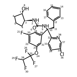 O=C(N[C@H]1CCC[C@H]1O)N[C@@](Cc1ccccc1)(c1cc(F)cc(OC(F)(F)C(F)F)c1)c1ccc(Cl)cn1